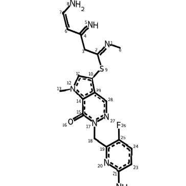 C/N=C(/CC(=N)/C=C\N)Sc1cn(C)c2c(=O)n(Cc3nc(N)ccc3F)ncc12